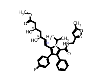 COC(=O)C[C@H](O)C[C@H](O)/C=C/c1c(-c2ccc(F)cc2)c(-c2ccccc2)c(C(=O)NCc2cc(C)on2)n1C(C)C